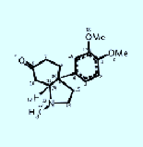 COc1ccc([C@]23CCC(=O)C[C@H]2N(C)CC3)cc1OC